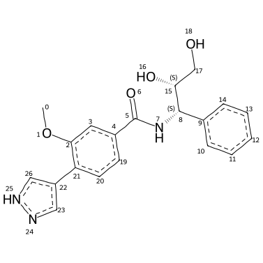 COc1cc(C(=O)N[C@@H](c2ccccc2)[C@H](O)CO)ccc1-c1cn[nH]c1